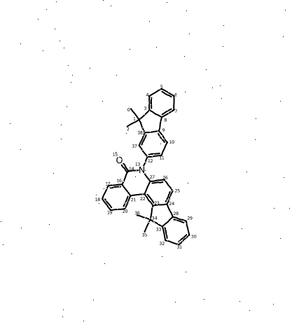 CC1(C)c2ccccc2-c2ccc(-n3c(=O)c4ccccc4c4c5c(ccc43)-c3ccccc3C5(C)C)cc21